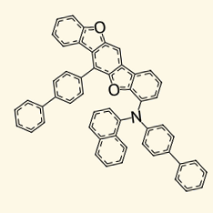 c1ccc(-c2ccc(-c3c4oc5c(N(c6ccc(-c7ccccc7)cc6)c6cccc7ccccc67)cccc5c4cc4oc5ccccc5c34)cc2)cc1